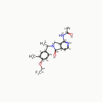 Cc1cc(C(C)N2Cc3c(ccnc3NC(=O)C(C)C)C2=O)ccc1OCC(F)(F)F